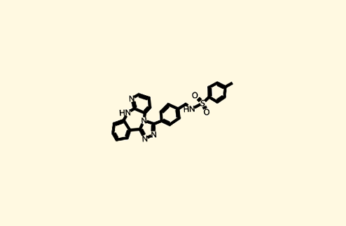 Cc1ccc(S(=O)(=O)NCc2ccc(-c3nnc4n3-c3cccnc3Nc3ccccc3-4)cc2)cc1